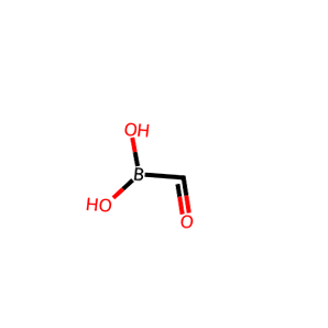 O=CB(O)O